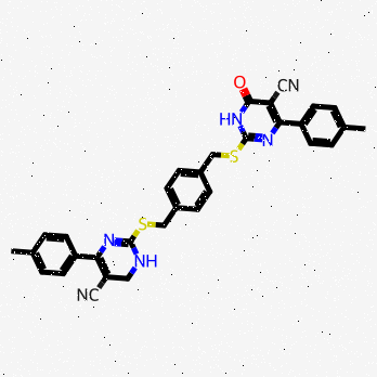 Cc1ccc(C2=C(C#N)CNC(SCc3ccc(CSc4nc(-c5ccc(C)cc5)c(C#N)c(=O)[nH]4)cc3)=N2)cc1